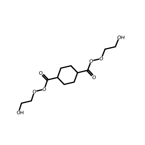 O=C(OOCCO)C1CCC(C(=O)OOCCO)CC1